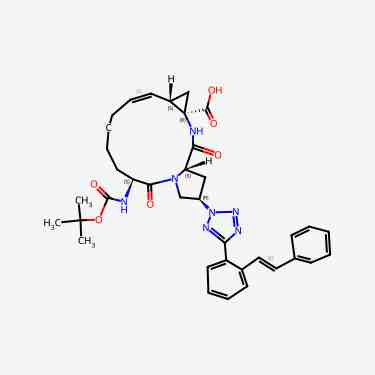 CC(C)(C)OC(=O)N[C@H]1CCCC/C=C\[C@@H]2C[C@@]2(C(=O)O)NC(=O)[C@@H]2C[C@@H](n3nnc(-c4ccccc4/C=C/c4ccccc4)n3)CN2C1=O